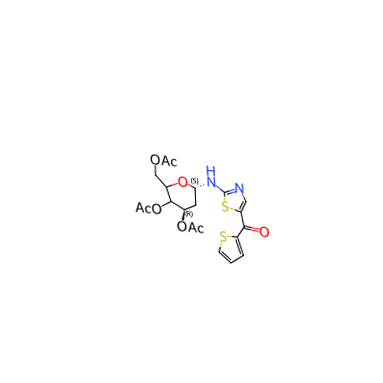 CC(=O)OCC1O[C@H](Nc2ncc(C(=O)c3cccs3)s2)C[C@@H](OC(C)=O)C1OC(C)=O